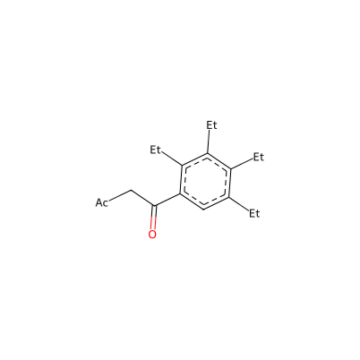 CCc1cc(C(=O)CC(C)=O)c(CC)c(CC)c1CC